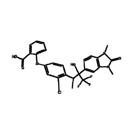 CC(c1ccc(Oc2ccccc2C(=O)O)cc1Cl)C(O)(c1ccc2c(c1)n(C)c(=O)n2C)C(F)(F)F